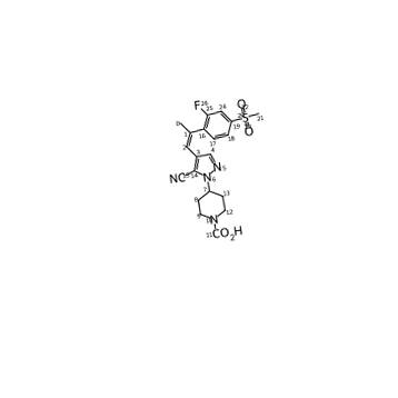 CC(=Cc1cnn(C2CCN(C(=O)O)CC2)c1C#N)c1ccc(S(C)(=O)=O)cc1F